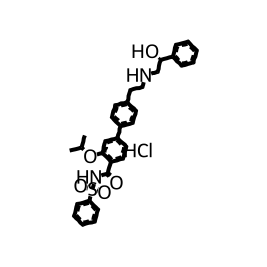 CC(C)Oc1cc(-c2ccc(CCNC[C@@H](O)c3ccccc3)cc2)ccc1C(=O)NS(=O)(=O)c1ccccc1.Cl